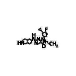 C=CCn1c(=O)c2cnc(Nc3ccc4c(c3)CCNC4)nc2n1-c1ccc(F)c(C2CC2)c1